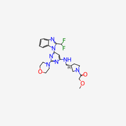 COCC(=O)N1CC[C@H](CNc2cc(-n3c(C(F)F)nc4ccccc43)nc(N3CCOCC3)n2)C1